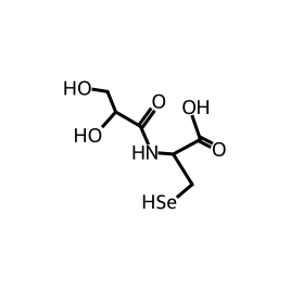 O=C(NC(C[SeH])C(=O)O)C(O)CO